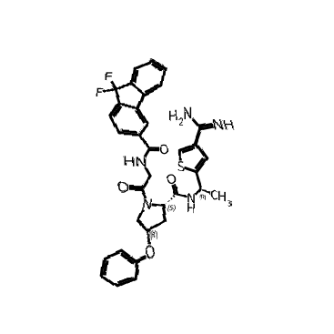 C[C@@H](NC(=O)[C@@H]1C[C@@H](Oc2ccccc2)CN1C(=O)CNC(=O)c1ccc2c(c1)-c1ccccc1C2(F)F)c1cc(C(=N)N)cs1